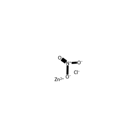 O=[N+]([O-])[O-].[Cl-].[Zn+2]